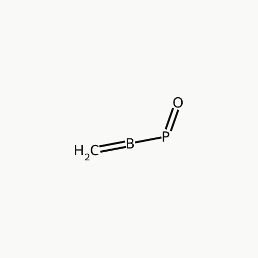 C=BP=O